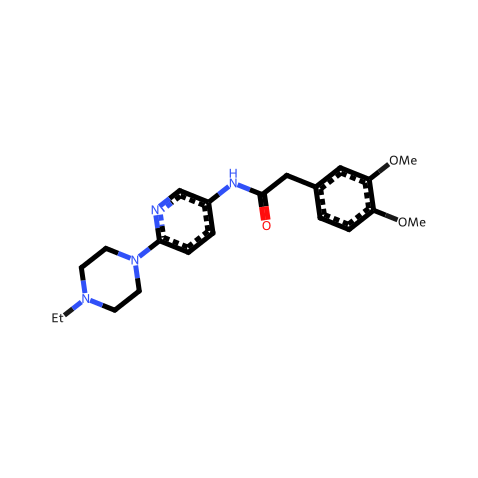 CCN1CCN(c2ccc(NC(=O)Cc3ccc(OC)c(OC)c3)cn2)CC1